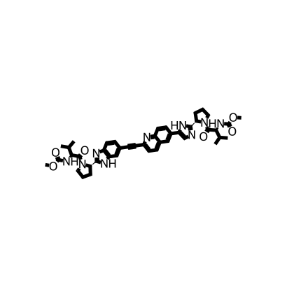 COC(=O)N[C@H](C(=O)N1CCC[C@H]1c1ncc(-c2ccc3nc(C#Cc4ccc5nc([C@@H]6CCCN6C(=O)[C@@H](NC(=O)OC)C(C)C)[nH]c5c4)ccc3c2)[nH]1)C(C)C